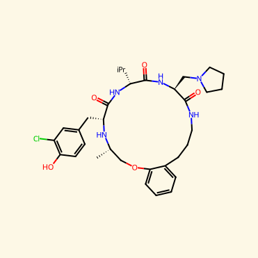 CC(C)[C@H]1NC(=O)[C@@H](Cc2ccc(O)c(Cl)c2)N[C@@H](C)COc2ccccc2CCCNC(=O)[C@H](CN2CCCC2)NC1=O